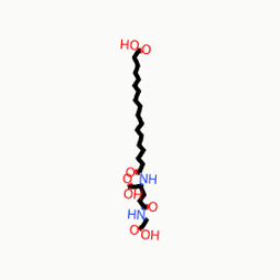 O=C(O)CCCCCCCCCCCCCCCCC(=O)NC(CCC(=O)NCC(=O)O)C(=O)O